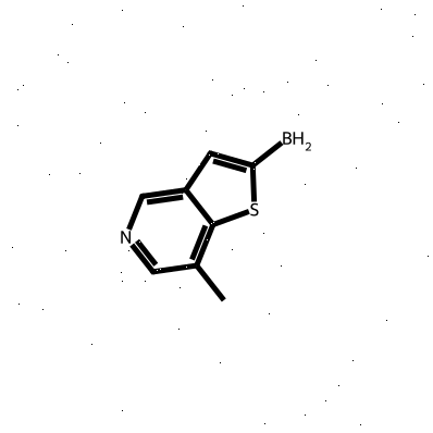 Bc1cc2cncc(C)c2s1